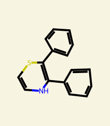 C1=CSC(c2ccccc2)=C(c2ccccc2)N1